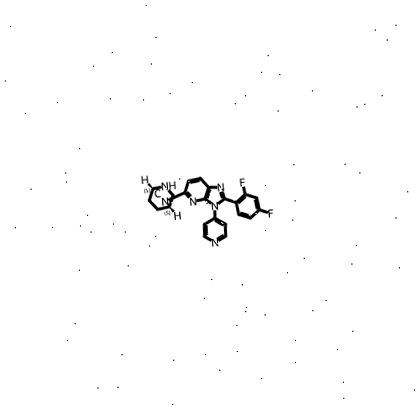 Fc1ccc(-c2nc3ccc(N4C[C@@H]5CC[C@H]4CN5)nc3n2-c2ccncc2)c(F)c1